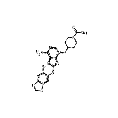 Nc1ncn(CC2CCN(C(=O)O)CC2)c2nc(Sc3cc4c(cc3Br)OCO4)nc1-2